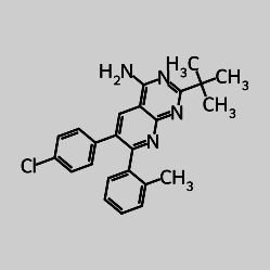 Cc1ccccc1-c1nc2nc(C(C)(C)C)nc(N)c2cc1-c1ccc(Cl)cc1